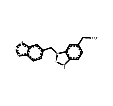 O=C(O)Cc1ccc2c(c1)N(Cc1ccc3nsnc3c1)SN2